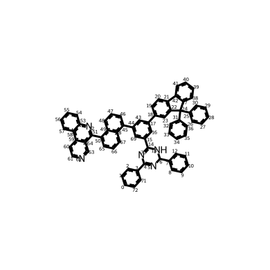 c1ccc(C2=NC(c3ccccc3)NC(c3cc(-c4ccc5c(c4)C(c4ccccc4)(c4ccccc4)c4ccccc4-5)cc(-c4cccc5c(-c6nc7ccccc7c7ccncc67)cccc45)c3)=N2)cc1